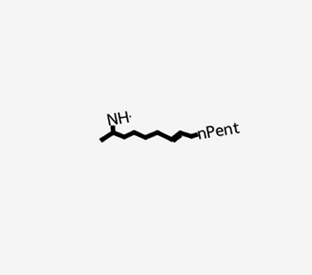 CCCCCCC=CCCCCC(C)[NH]